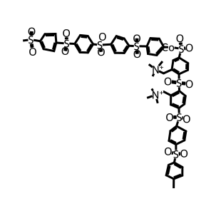 Cc1ccc(S(=O)(=O)c2ccc(S(=O)(=O)c3ccc(S(=O)(=O)c4ccc([S](=O)(=O)[Co][c]5ccc(S(=O)(=O)c6ccc(S(=O)(=O)c7ccc(S(=O)(=O)c8ccc(S(C)(=O)=O)cc8)cc7)cc6)cc5)cc4C[N+](C)(C)C)c(C[N+](C)(C)C)c3)cc2)cc1